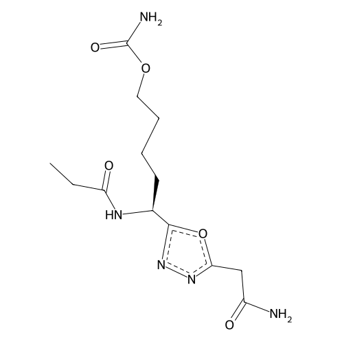 CCC(=O)N[C@@H](CCCCOC(N)=O)c1nnc(CC(N)=O)o1